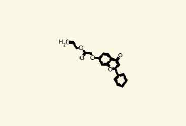 C=CCOC(=O)COc1ccc2c(=O)cc(-c3ccccc3)oc2c1